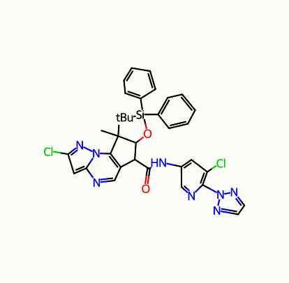 CC1(C)c2c(cnc3cc(Cl)nn23)C(C(=O)Nc2cnc(-n3nccn3)c(Cl)c2)C1O[Si](c1ccccc1)(c1ccccc1)C(C)(C)C